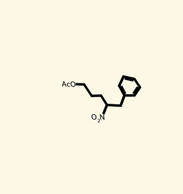 CC(=O)OCCCC(Cc1ccccc1)[N+](=O)[O-]